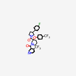 O=C(c1cnccc1C(F)(F)F)N1CCCC(Oc2ccc(C(F)(F)F)cc2)(C(=O)N2CCC(c3ccc(F)cc3)C2)C1